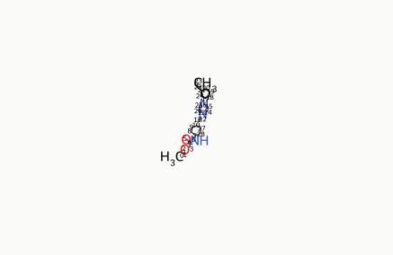 CCOCC(=O)N[C@H]1CC[C@H](CCN2CCN(c3cccc(CC)c3)CC2)CC1